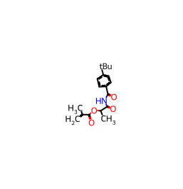 C=C(C)C(=O)OC(C)C(=O)NC(=O)c1ccc(C(C)(C)C)cc1